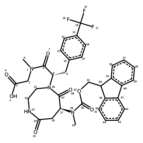 CN(CC(=O)O)C(=O)[C@H](Cc1ccc(C(F)(F)F)cc1)N1CCNC(=O)C[C@H](N(C)C(=O)OCC2c3ccccc3-c3ccccc32)C1=O